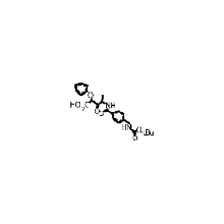 CC(NC(=O)c1ccc(CNC(=O)OC(C)(C)C)cc1)C(=O)C(Oc1ccccc1)C(=O)O